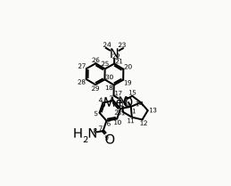 COC1(c2cccc(C(N)=O)c2)C2CCC1CN(Cc1ccc(N(C)C)c3ccccc13)C2